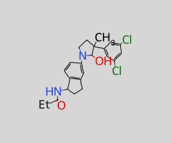 CCC(=O)NC1CCc2cc(N3CCC(C)(c4cc(Cl)cc(Cl)c4)C3O)ccc21